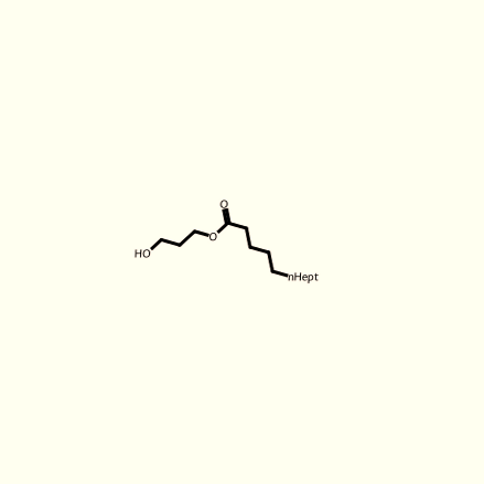 CCCCCCCCCCCC(=O)OCCCO